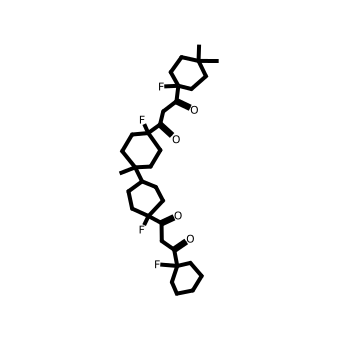 CC1(C)CCC(F)(C(=O)CC(=O)C2(F)CCC(C)(C3CCC(F)(C(=O)CC(=O)C4(F)CCCCC4)CC3)CC2)CC1